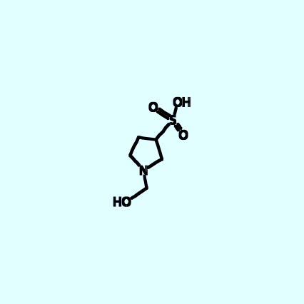 O=S(=O)(O)C1CCN(CO)C1